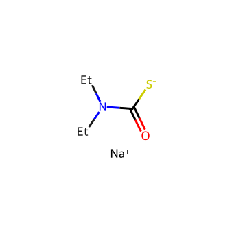 CCN(CC)C(=O)[S-].[Na+]